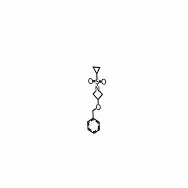 O=S(=O)(C1CC1)N1CC(OCc2ccccc2)C1